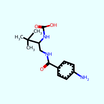 CC(C)(C)C(CNC(=O)c1ccc(N)cc1)NC(=O)O